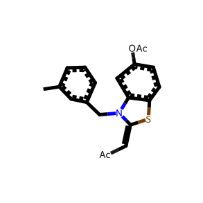 CC(=O)C=C1Sc2ccc(OC(C)=O)cc2N1Cc1cccc(C)c1